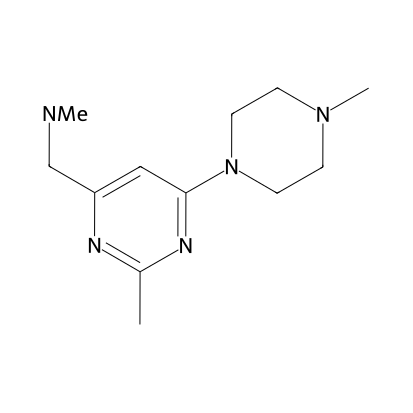 CNCc1cc(N2CCN(C)CC2)nc(C)n1